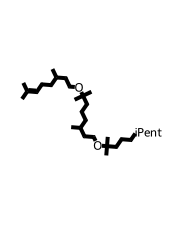 CCCC(C)CCCC(C)(C)OCCC(C)CCCC(C)(C)OCCC(C)CCC=C(C)C